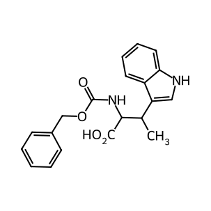 CC(c1c[nH]c2ccccc12)C(NC(=O)OCc1ccccc1)C(=O)O